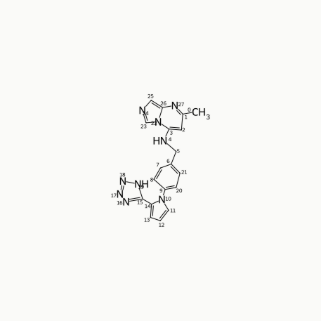 Cc1cc(NCc2ccc(-n3cccc3-c3nnn[nH]3)cc2)n2cncc2n1